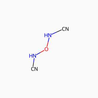 N#CNONC#N